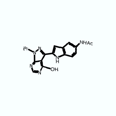 CC(=O)Nc1ccc2[nH]c(-c3nn(C(C)C)c4ncnc(O)c34)cc2c1